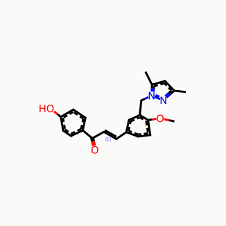 COc1ccc(/C=C/C(=O)c2ccc(O)cc2)cc1Cn1nc(C)cc1C